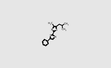 Cc1nc(-c2ncc(-c3ccccc3)s2)sc1CC(C)C